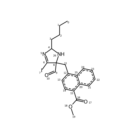 CCCCC1N=C(I)C(C=O)(Cc2ccc(C(=O)OC)c3ccccc23)N1